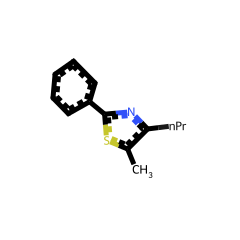 [CH2]CCc1nc(-c2ccccc2)sc1C